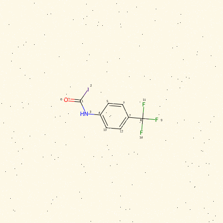 O=C(I)Nc1ccc(C(F)(F)F)cc1